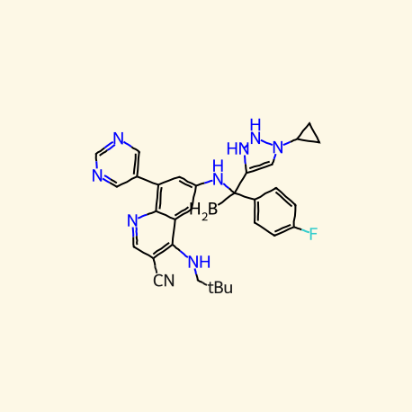 BC(Nc1cc(-c2cncnc2)c2ncc(C#N)c(NCC(C)(C)C)c2c1)(C1=CN(C2CC2)NN1)c1ccc(F)cc1